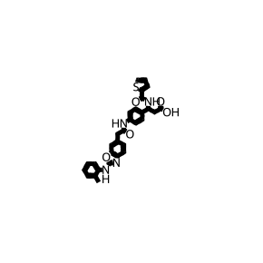 Cc1ccccc1Nc1nc2ccc(CC(=O)Nc3ccc(C(CC(=O)O)NC(=O)c4cccs4)cc3)cc2o1